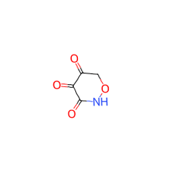 O=C1CONC(=O)C1=O